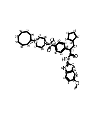 COc1ccc2nc(NC(=O)C(CC3CCCC3)c3ccc(S(=O)(=O)N4CCN(C5CCCCCCC5)CC4)cc3)sc2n1